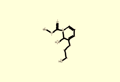 CC(C)(C)OC(=O)N1C=CC=C(CCCO)C1N